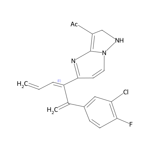 C=C/C=C(\C(=C)c1ccc(F)c(Cl)c1)C1=NC2=C(C(C)=O)CNN2C=C1